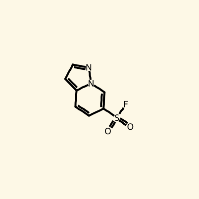 O=S(=O)(F)c1ccc2ccnn2c1